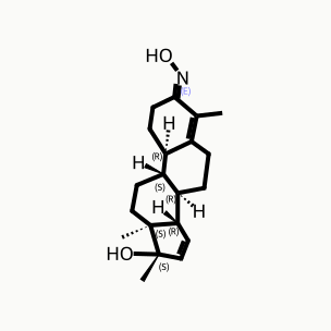 CC1=C2CC[C@@H]3[C@H](CC[C@@]4(C)[C@H]3C=C[C@]4(C)O)[C@H]2CC/C1=N\O